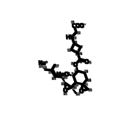 CO[C@@H]1[C@H](OC(=O)N2CC(NCC(=O)[O-])C2)CC[C@]2(CO2)[C@H]1[C@@]1(C)O[C@@H]1CC=C(C)C.[Na+]